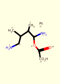 CC(CN)C(C)C(N)OC(=O)C(=O)O.[Pt]